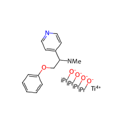 CC(C)[O-].CC(C)[O-].CC(C)[O-].CC(C)[O-].CNC(COc1ccccc1)c1ccncc1.[Ti+4]